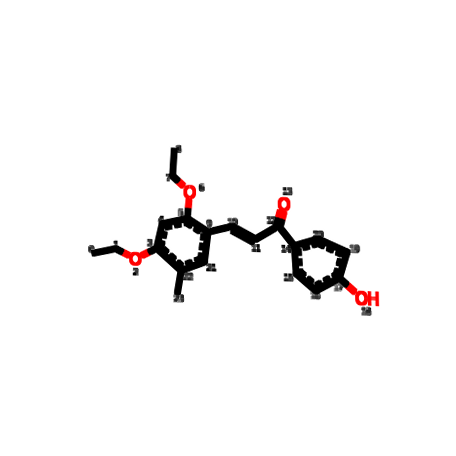 CCOc1cc(OCC)c(C=CC(=O)c2ccc(O)cc2)cc1C